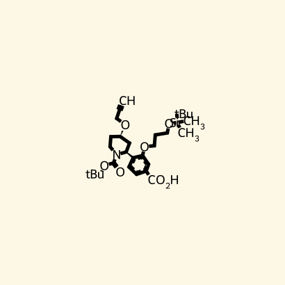 C#CCO[C@H]1CCN(C(=O)OC(C)(C)C)[C@H](c2ccc(C(=O)O)cc2OCCCO[Si](C)(C)C(C)(C)C)C1